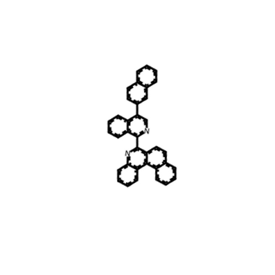 c1ccc2cc(-c3cnc(-c4nc5ccccc5c5c4ccc4ccccc45)c4ccccc34)ccc2c1